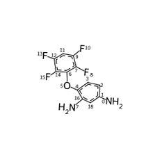 Nc1ccc(Oc2c(F)c(F)cc(F)c2F)c(N)c1